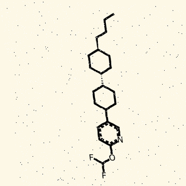 CCCC[C@H]1CC[C@H](C2CCC(c3ccc(OC(F)F)nc3)CC2)CC1